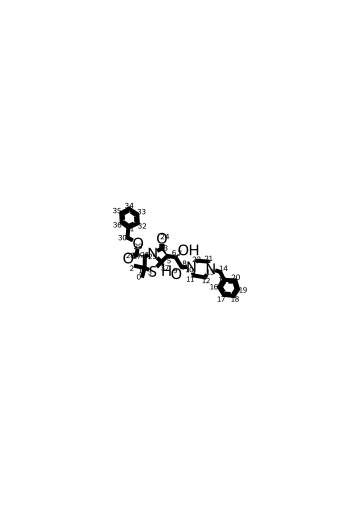 CC1(C)S[C@@H]2[C@H]([C@H](O)C(=O)N3CCN(Cc4ccccc4)CC3)C(=O)N2[C@H]1C(=O)OCc1ccccc1